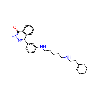 O=c1[nH]nc(-c2cccc(NCCCCCNCCC3=CCCCC3)c2)c2ccccc12